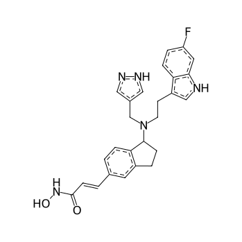 O=C(/C=C/c1ccc2c(c1)CCC2N(CCc1c[nH]c2cc(F)ccc12)Cc1cn[nH]c1)NO